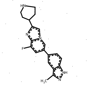 Cc1n[nH]c2ccc(-c3cc(F)c4nc(C5CCNCC5)cn4c3)cc12